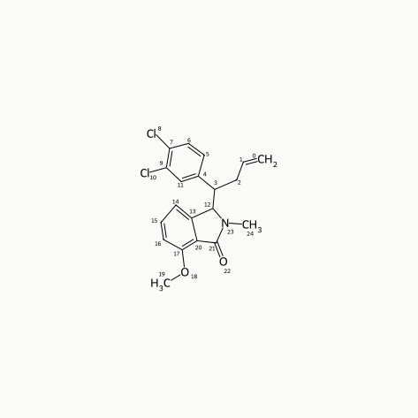 C=CCC(c1ccc(Cl)c(Cl)c1)C1c2cccc(OC)c2C(=O)N1C